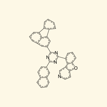 c1ccc2c(c1)-c1cccc3cc(-c4nc(-c5ccc6ccccc6c5)nc(-c5cccc6oc7ccncc7c56)n4)cc-2c13